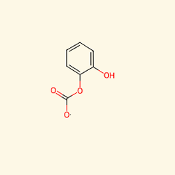 [O]C(=O)Oc1ccccc1O